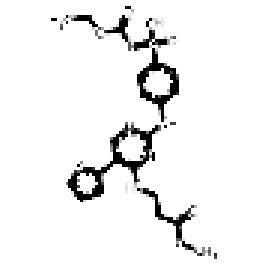 CCOC(=O)N=S(C)(=O)c1ccc(Nc2ncc(-c3cccs3)c(NCCC(=O)OC)n2)cc1